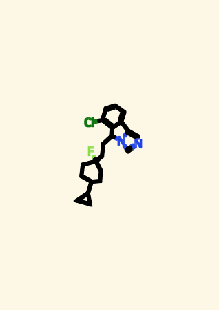 FC1(CCC2c3c(Cl)cccc3-c3cncn32)CCC(C2CC2)CC1